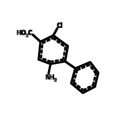 Nc1cc(C(=O)O)c(Cl)cc1-c1ccccc1